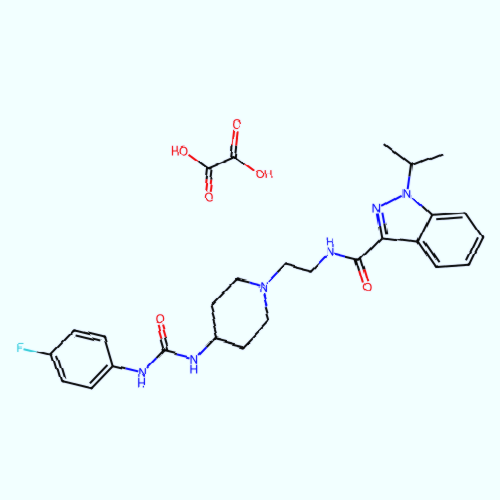 CC(C)n1nc(C(=O)NCCN2CCC(NC(=O)Nc3ccc(F)cc3)CC2)c2ccccc21.O=C(O)C(=O)O